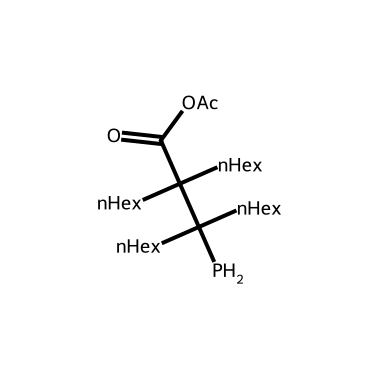 CCCCCCC(P)(CCCCCC)C(CCCCCC)(CCCCCC)C(=O)OC(C)=O